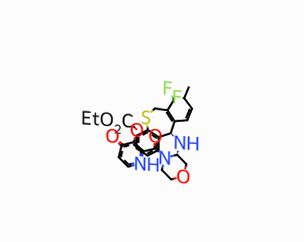 CCOC(=O)Oc1c(C(=O)N2CCOC[C@H]2N[C@H]2C(/C=C\C(C)F)=C(CF)CSc3ccccc32)[nH]ccc1=O